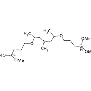 CO[SiH](CCCOC(C)CN(C)CC(C)OCCC[SiH](OC)OC)OC